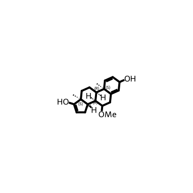 COC1CC2=CC(O)C=C[C@]2(C)[C@@H]2CC[C@]3(C)C(O)=CC[C@H]3[C@H]12